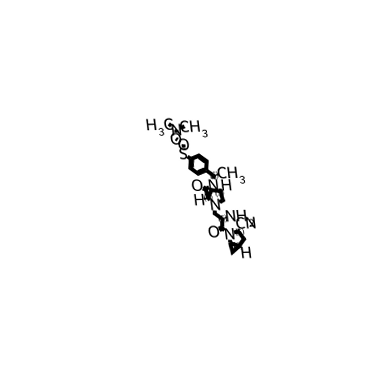 C[C@@H](c1ccc(SOON(C)C)cc1)N1C(=O)[C@@H]2C[C@H]1CN2C[C@H](N)C(=O)N1C2C[C@H]2C[C@H]1C#N